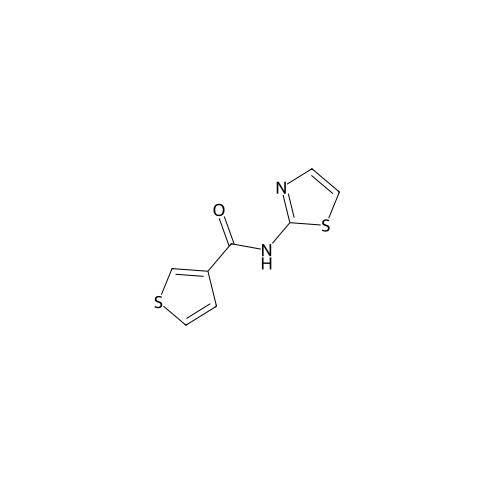 O=C(Nc1nccs1)c1ccsc1